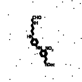 CCCCCCCCCCCCc1ccc(/N=N/c2ccc(NCCCCNCC=O)cc2)c([N+](=O)[O-])c1